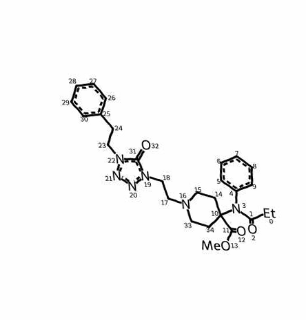 CCC(=O)N(c1ccccc1)C1(C(=O)OC)CCN(CCn2nnn(CCc3ccccc3)c2=O)CC1